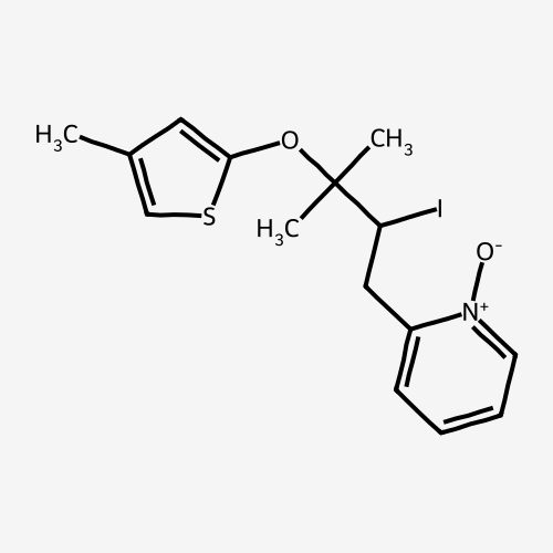 Cc1csc(OC(C)(C)C(I)Cc2cccc[n+]2[O-])c1